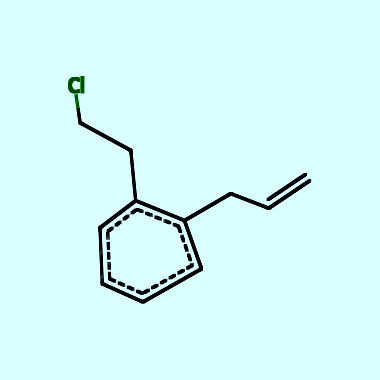 C=CCc1ccccc1CCCl